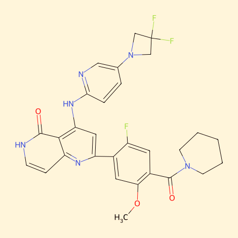 COc1cc(-c2cc(Nc3ccc(N4CC(F)(F)C4)cn3)c3c(=O)[nH]ccc3n2)c(F)cc1C(=O)N1CCCCC1